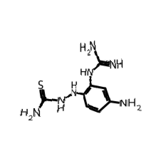 N=C(N)Nc1cc(N)ccc1NNC(N)=S